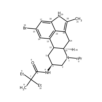 CCCN1C[C@@H](NC(=O)C(C)(CC)CC)CC2c3cc(Br)cc4[nH]c(C)c(c34)C[C@H]21